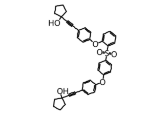 O=S(=O)(c1ccc(Oc2ccc(C#CC3(O)CCCC3)cc2)cc1)c1ccccc1Oc1ccc(C#CC2(O)CCCC2)cc1